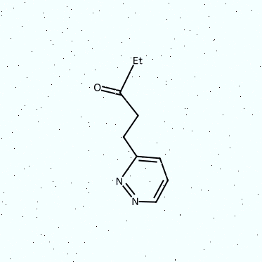 CCC(=O)CCc1cccnn1